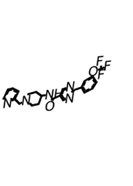 O=C(NC1CCN(Cc2ccccn2)CC1)c1cnc(-c2cccc(OC(F)(F)F)c2)nc1